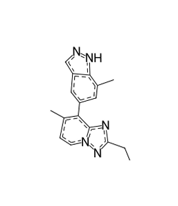 CCc1nc2c(-c3cc(C)c4[nH]ncc4c3)c(C)ccn2n1